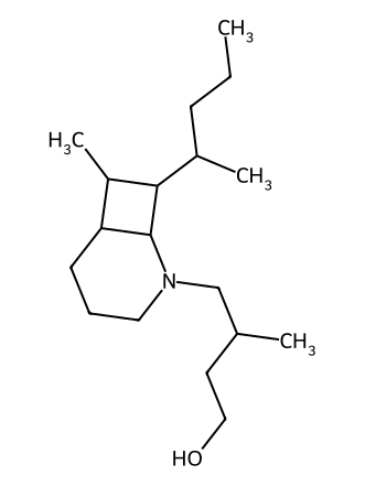 CCCC(C)C1C(C)C2CCCN(CC(C)CCO)C21